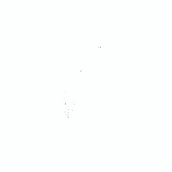 COCCOCCOCCOCCC(=O)NCCOCCOCCOCCN1CCN(c2cccc(-c3nc(NC(=N)N)nc4ccc(Cl)cc34)c2)CC1